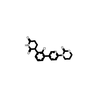 O=C1CCC(c2cccc(-c3ccc(N4CCCOC4=O)nc3)c2Cl)C(=O)N1